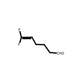 O=[C]CCCC=C(F)F